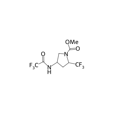 COC(=O)N1CC(NC(=O)C(F)(F)F)CC1C(F)(F)F